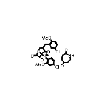 COc1ccc(Cl)cc1CC1CN2C(=O)CC2(S(=O)(=O)c2ccc(Cl)cc2OC)C1=O.O=C1CCNC(=O)CC1